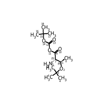 C[C@@H](OC(C)(C)C)[C@H](N)C(=O)OC(=O)OC(C)(C)C